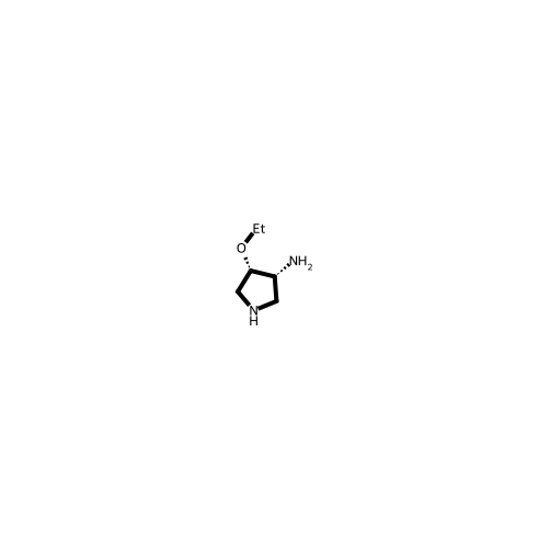 CCO[C@H]1CNC[C@H]1N